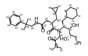 CC(C)C[C@H](O)[C@H](O)[C@H](CC1CCCCC1)N(CC(=O)N(C)C)C(=O)[C@@H](CC(=O)NCC(C)(C)c1ccccc1)CC1CC1